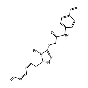 C=C/N=C\C=C/Cc1nnc(SCC(=O)Nc2ccc(C=C)cc2)n1CC